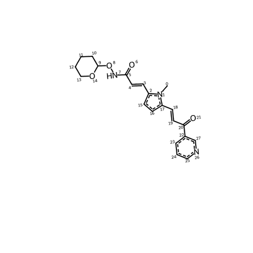 Cn1c(/C=C/C(=O)NOC2CCCCO2)ccc1/C=C/C(=O)c1cccnc1